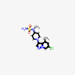 Cc1cc(Cl)cn2ncc(N3CCC(N(C)S(N)(=O)=O)CC3)c12